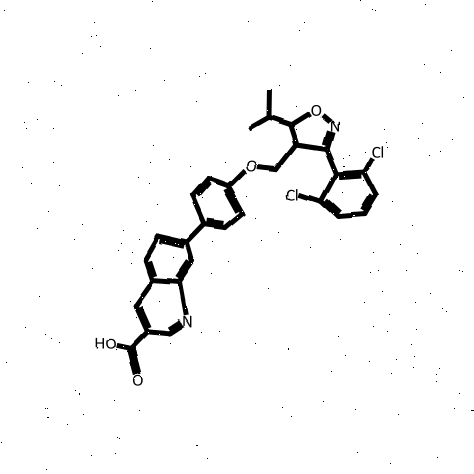 CC(C)C1ON=C(c2c(Cl)cccc2Cl)C1COc1ccc(-c2ccc3cc(C(=O)O)cnc3c2)cc1